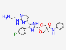 CC1(C(=O)Nc2ccccc2)COC(c2nc(-c3ccc(F)cc3)c(-c3ccnc(NCCN)n3)[nH]2)OC1